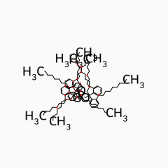 CCCCCCCCCc1ccccc1C(CCCCCCCCC)(OP(OC(CCCCCCCCC)(c1ccccc1CCCCCCCCC)c1ccccc1CCCCCCCCC)OC(CCCCCCCCC)(c1ccccc1CCCCCCCCC)c1ccccc1CCCCCCCCC)c1ccccc1CCCCCCCCC